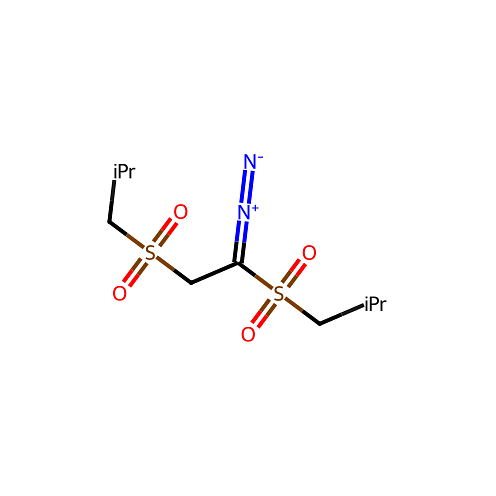 CC(C)CS(=O)(=O)CC(=[N+]=[N-])S(=O)(=O)CC(C)C